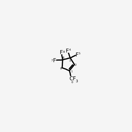 FC(F)(F)C1=CC(F)(F)C(F)(F)C1